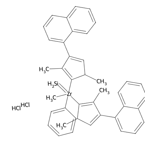 CC1=[C]([Zr]([CH3])(=[SiH2])([C]2=C(C)C(c3cccc4ccccc34)=CC2C)[c]2ccccc2)C(C)C=C1c1cccc2ccccc12.Cl.Cl